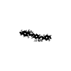 CCCCCCc1c(-c2sc3cc4c(CCCCCC)c(-c5sc6cc7ccsc7cc6c5CC)sc4cc3c2CC)sc2cc3ccsc3cc12